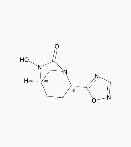 O=C1N(O)[C@@H]2CC[C@@H](c3ncno3)N1C2